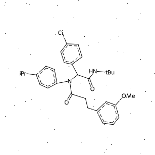 COc1cccc(CCC(=O)N(c2ccc(C(C)C)cc2)C(C(=O)NC(C)(C)C)c2ccc(Cl)cc2)c1